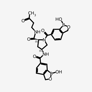 CC(=O)CCNC(=O)[C@@H]1C[C@H](NC(=O)c2ccc3c(c2)B(O)OC3)CN1C(=O)c1ccc2c(c1)B(O)OC2